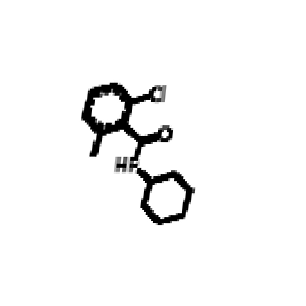 Cc1cccc(Cl)c1C(=O)PC1CCCCC1